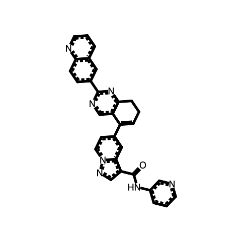 O=C(Nc1cccnc1)c1cnn2ccc(C3=CCCc4nc(-c5ccc6ncccc6c5)ncc43)cc12